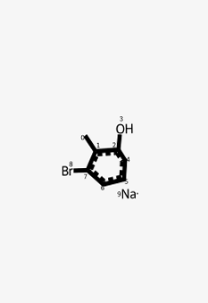 Cc1c(O)cccc1Br.[Na]